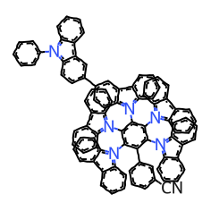 N#Cc1cccc(-c2c(-n3c4ccccc4c4ccccc43)c(-n3c4ccccc4c4ccccc43)c(-n3c4ccccc4c4cc(-c5ccc6c(c5)c5ccccc5n6-c5ccccc5)ccc43)c(-n3c4ccccc4c4ccccc43)c2-n2c3ccccc3c3ccccc32)c1